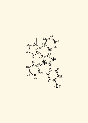 Brc1ccc(-c2nc3c4ccccc4c4c(c3n2-c2ccccc2)C=CCN4)cc1